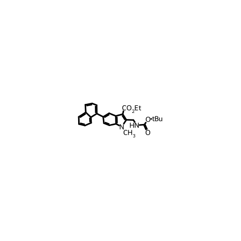 CCOC(=O)c1c(CNC(=O)OC(C)(C)C)n(C)c2ccc(-c3cccc4ccccc34)cc12